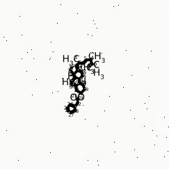 CC(C)[C@@H](C)C=C[C@@H](C)[C@H]1CC[C@H]2C3=CC=C4C[C@@H](OC(=O)Cc5ccccc5)CC[C@]4(C)[C@H]3CC[C@]12C